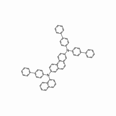 c1ccc(-c2ccc(N(c3ccc(-c4ccccc4)cc3)c3ccc4c(ccc5cc(N(c6ccc(-c7ccccc7)cc6)c6cccc7ccccc67)ccc54)c3)cc2)cc1